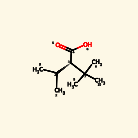 CC(C)[C@H](C(=O)O)C(C)(C)C